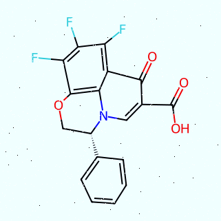 O=C(O)c1cn2c3c(c(F)c(F)c(F)c3c1=O)OC[C@H]2c1ccccc1